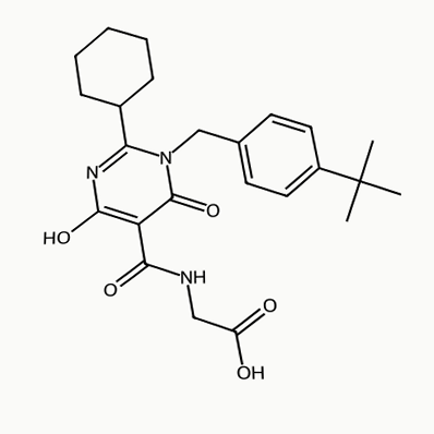 CC(C)(C)c1ccc(Cn2c(C3CCCCC3)nc(O)c(C(=O)NCC(=O)O)c2=O)cc1